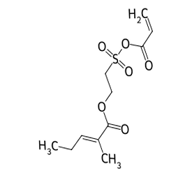 C=CC(=O)OS(=O)(=O)CCOC(=O)C(C)=CCC